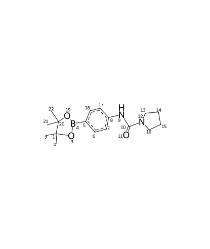 CC1(C)OB(c2ccc(NC(=O)N3CCCC3)cc2)OC1(C)C